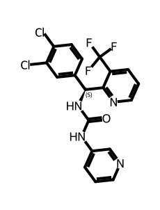 O=C(Nc1cccnc1)N[C@@H](c1ccc(Cl)c(Cl)c1)c1ncccc1C(F)(F)F